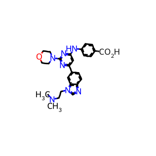 CN(C)CCn1cnc2ccc(-c3cc(Nc4ccc(C(=O)O)cc4)nc(N4CCOCC4)n3)cc21